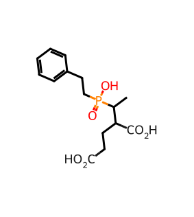 CC(C(CCC(=O)O)C(=O)O)P(=O)(O)CCc1ccccc1